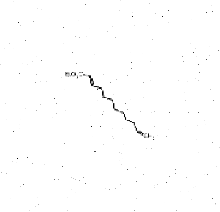 C=CCCCCCCCC=CC(=O)OCC